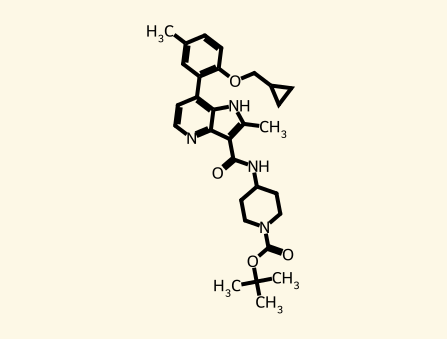 Cc1ccc(OCC2CC2)c(-c2ccnc3c(C(=O)NC4CCN(C(=O)OC(C)(C)C)CC4)c(C)[nH]c23)c1